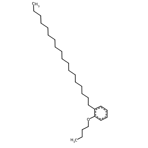 CCCCCCCCCCCCCCCCCCc1ccccc1OCCCC